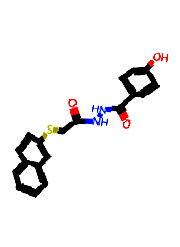 O=C(CSc1ccc2ccccc2c1)NNC(=O)c1ccc(O)cc1